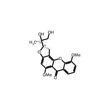 COc1cccc2c(=O)c3c(OC)cc4c(c3oc12)C[C@@H]([C@@](C)(O)CO)O4